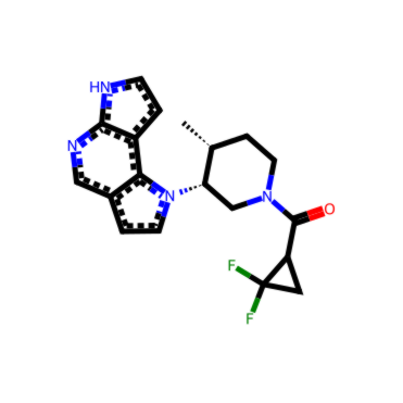 C[C@@H]1CCN(C(=O)C2CC2(F)F)C[C@@H]1n1ccc2cnc3[nH]ccc3c21